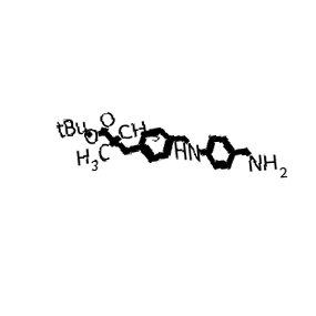 CC(C)(C)OC(=O)C(C)(C)Cc1ccc(CNc2ccc(CN)cc2)cc1